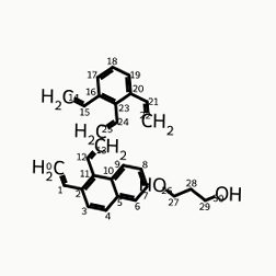 C=Cc1ccc2ccccc2c1C=C.C=Cc1cccc(C=C)c1C=C.OCCCO